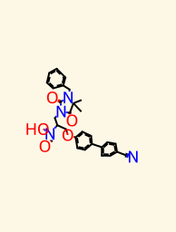 CC1(C)C(=O)N(CC(COc2ccc(-c3ccc(C#N)cc3)cc2)N(O)C=O)C(=O)N1Cc1ccccc1